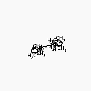 CC1(C)CCCC(C)(C)[N+]1([O-])NC(=O)CCCCC(=O)N[N+]1([O-])C(C)(C)CCCC1(C)C